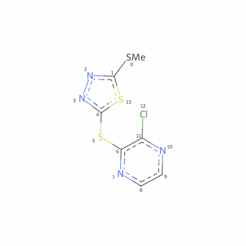 CSc1nnc(Sc2nccnc2Cl)s1